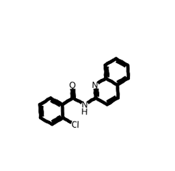 O=C(Nc1ccc2ccccc2n1)c1ccccc1Cl